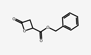 O=C1CC(C(=O)OCc2ccccc2)O1